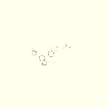 C=CC(=O)N1CCN2c3ncc(-c4cc(-c5cnn(C)c5)cn5ncc(C#N)c45)cc3OC[C@@H]2C1